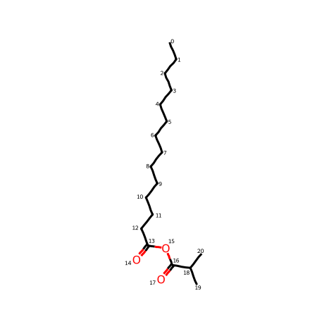 CCCCCCCCCCCCCC(=O)OC(=O)C(C)C